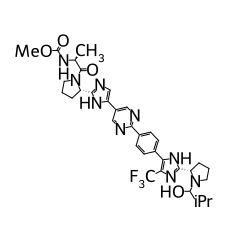 COC(=O)N[C@@H](C)C(=O)N1CCC[C@H]1c1ncc(-c2cnc(-c3ccc(-c4[nH]c([C@@H]5CCCN5C(O)C(C)C)nc4C(F)(F)F)cc3)nc2)[nH]1